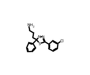 NCCCC1(c2ccccc2)[N]N=C(c2cccc(Cl)c2)S1